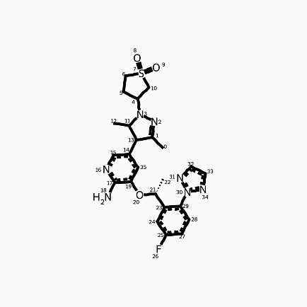 CC1=NN(C2CCS(=O)(=O)C2)C(C)C1c1cnc(N)c(O[C@H](C)c2cc(F)ccc2-n2nccn2)c1